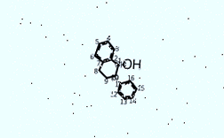 O[C@H]1c2ccccc2CC[C@H]1c1ccccc1